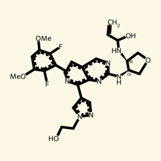 C=CC(O)N[C@H]1COC[C@H]1Nc1ncc2cc(-c3c(F)c(OC)cc(OC)c3F)nc(-c3cnn(CCO)c3)c2n1